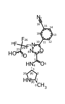 C[C@@H]1C[C@@H](NC(=O)c2nnc(-c3cccc(C#N)c3)o2)CN1.O=C(O)C(F)(F)F